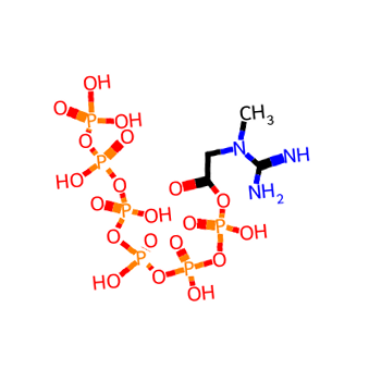 CN(CC(=O)OP(=O)(O)OP(=O)(O)OP(=O)(O)OP(=O)(O)OP(=O)(O)OP(=O)(O)O)C(=N)N